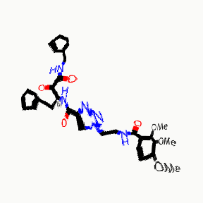 COc1ccc(C(=O)NCCn2cc(C(=O)N[C@@H](Cc3ccccc3)C(=O)C(=O)NCc3ccccc3)nn2)c(OC)c1OC